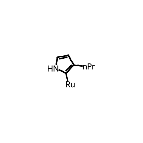 CCCc1cc[nH][c]1[Ru]